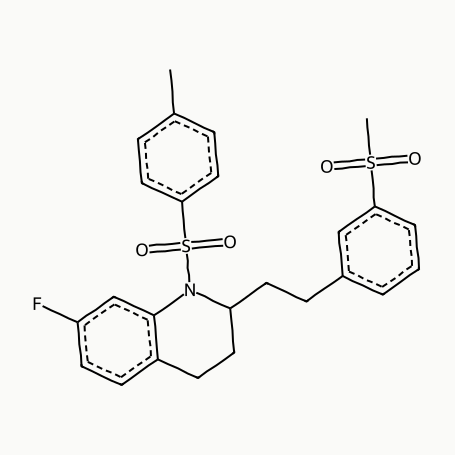 Cc1ccc(S(=O)(=O)N2c3cc(F)ccc3CCC2CCc2cccc(S(C)(=O)=O)c2)cc1